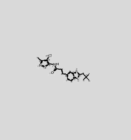 Cc1nsc(NC(=O)CCc2ccc3oc(CC(C)(C)C)nc3c2)c1Cl